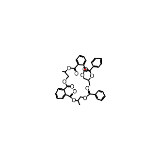 CC(COC(=O)c1ccccc1C(=O)OC(C)COC(=O)c1ccccc1C(=O)OC(C)COC(=O)c1ccccc1)OC(=O)c1ccccc1